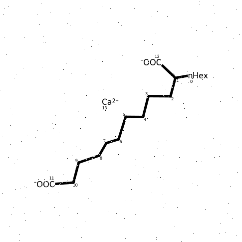 CCCCCCC(CCCCCCCCCC(=O)[O-])C(=O)[O-].[Ca+2]